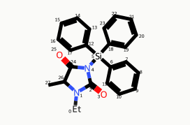 CCN1C(=O)N([Si](c2ccccc2)(c2ccccc2)c2ccccc2)C(=O)C1C